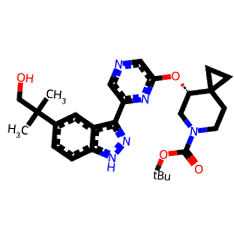 CC(C)(C)OC(=O)N1CCC2(CC2)[C@@H](Oc2cncc(-c3n[nH]c4ccc(C(C)(C)CO)cc34)n2)C1